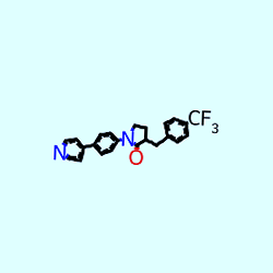 O=C1C(Cc2ccc(C(F)(F)F)cc2)CCN1c1ccc(-c2ccncc2)cc1